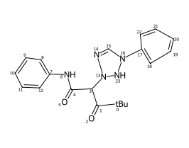 CC(C)(C)C(=O)C(C(=O)Nc1ccccc1)N1N=CN(c2ccccc2)N1